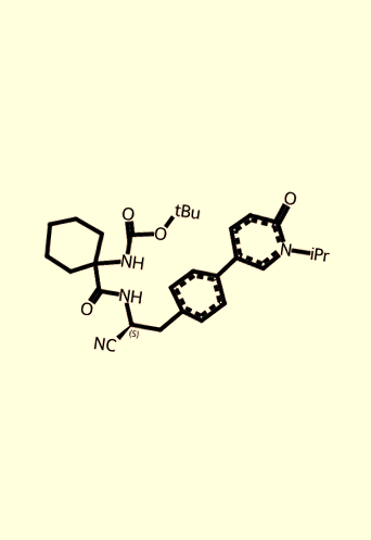 CC(C)n1cc(-c2ccc(C[C@@H](C#N)NC(=O)C3(NC(=O)OC(C)(C)C)CCCCC3)cc2)ccc1=O